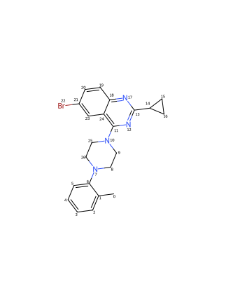 Cc1ccccc1N1CCN(c2nc(C3CC3)nc3ccc(Br)cc23)CC1